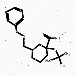 CC(C)(C)OC1(C([NH])=O)CCCC(CSCc2ccccc2)C1